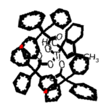 CC1=C[C](C)([Ti]([O]C(=O)C(c2ccccc2)(c2ccccc2)c2ccccc2)([O]C(=O)C(c2ccccc2)(c2ccccc2)c2ccccc2)[O]C(=O)C(c2ccccc2)(c2ccccc2)c2ccccc2)C2=C1CCCC2